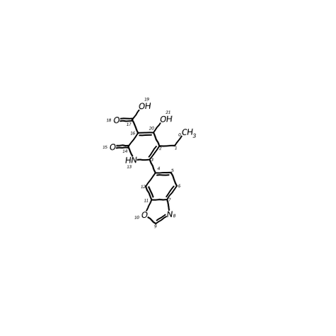 CCc1c(-c2ccc3ncoc3c2)[nH]c(=O)c(C(=O)O)c1O